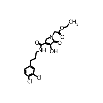 CCOC(=O)CN1CC(C(=O)NCCCc2ccc(Cl)c(Cl)c2)=C(O)C1=O